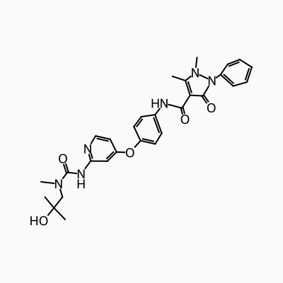 Cc1c(C(=O)Nc2ccc(Oc3ccnc(NC(=O)N(C)CC(C)(C)O)c3)cc2)c(=O)n(-c2ccccc2)n1C